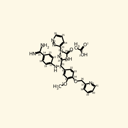 CC(=O)O.COc1cc([C@H](Nc2ccc(C(=N)N)cc2)c2nn(-c3cccnn3)c(=O)[nH]2)ccc1OCc1ccccn1